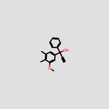 C#CC(O)(c1ccccc1)c1cc(C)c(C)c(OC)c1